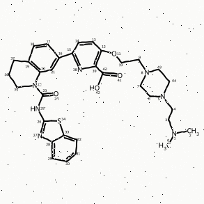 CN(C)CCN1CCN(CCOc2ccc(-c3ccc4c(c3)N(C(=O)Nc3nc5ccccc5s3)CCC4)nc2C(=O)O)CC1